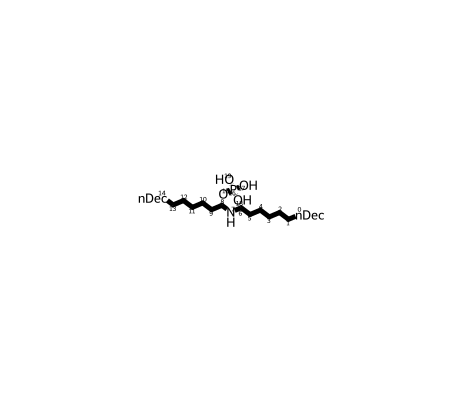 CCCCCCCCCCCCCCCCNCCCCCCCCCCCCCCCC.O=P(O)(O)O